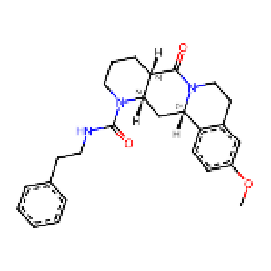 COc1ccc2c(c1)CCN1C(=O)[C@H]3CCCN(C(=O)NCCc4ccccc4)[C@H]3C[C@@H]21